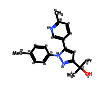 CCCC(C)(O)c1cc(-c2ccc(C)nc2)n(-c2ccc(OC)cc2)n1